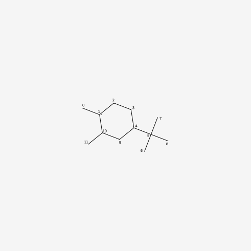 C[C]1CCC(C(C)(C)C)CC1C